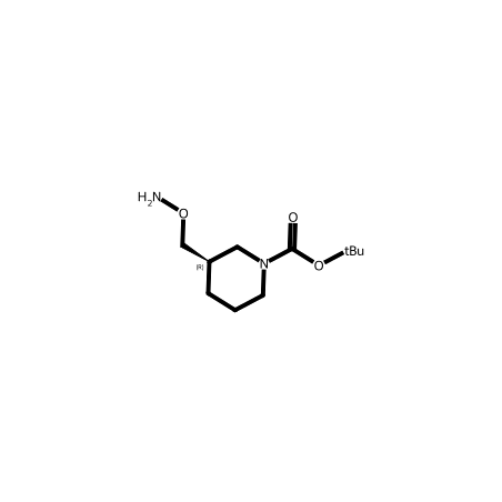 CC(C)(C)OC(=O)N1CCC[C@@H](CON)C1